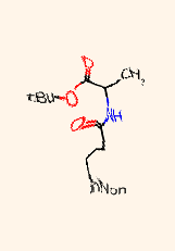 CCCCCCCCCCCC(=O)NC(C)C(=O)OC(C)(C)C